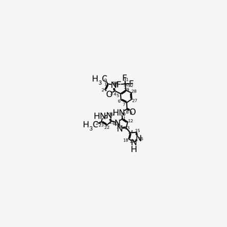 Cc1coc(-c2cc(C(=O)Nc3cc(-c4cn[nH]c4)nn3-c3cc(C)[nH]n3)ccc2C(F)(F)F)n1